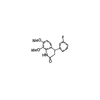 COc1ccc2c(c1OC)NC(=O)CC2c1cccc(F)c1